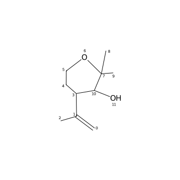 C=C(C)C1CCOC(C)(C)C1O